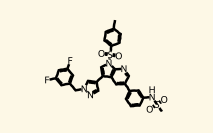 Cc1ccc(S(=O)(=O)n2cc(-c3cnn(Cc4cc(F)cc(F)c4)c3)c3cc(-c4cccc(NS(C)(=O)=O)c4)cnc32)cc1